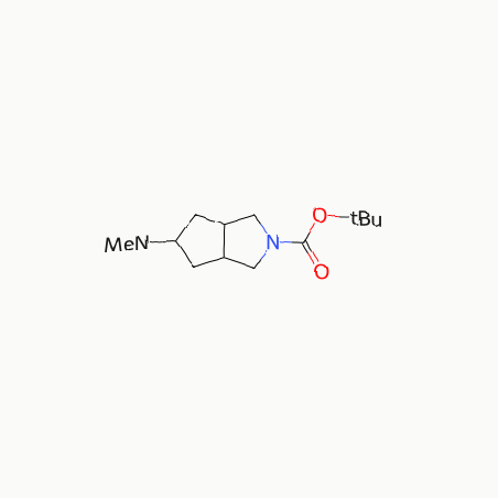 CNC1CC2CN(C(=O)OC(C)(C)C)CC2C1